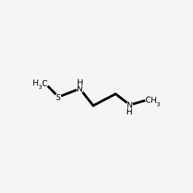 CNCCNSC